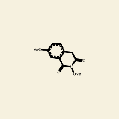 COc1ccc2c(c1)C(=O)N(OC)C(=O)C2